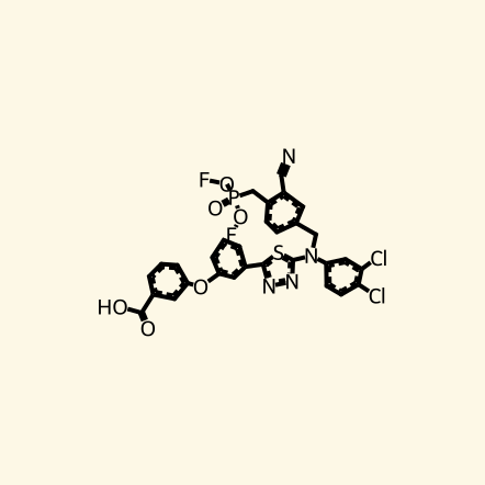 N#Cc1cc(CN(c2ccc(Cl)c(Cl)c2)c2nnc(-c3cccc(Oc4cccc(C(=O)O)c4)c3)s2)ccc1CP(=O)(OF)OF